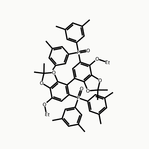 CCOc1cc(P(=O)(c2cc(C)cc(C)c2)c2cc(C)cc(C)c2)c(-c2cc(P(=O)(c3cc(C)cc(C)c3)c3cc(C)cc(C)c3)c(OCC)c3c2OC(C)(C)O3)c2c1OC(C)(C)O2